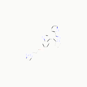 c1ccc(-c2nn3c(c2-c2ccnc4cc(OCCCn5cccn5)ccc24)CCC3)nc1